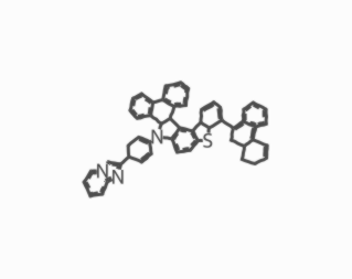 C1=CC2c3c(ccc4c3C3c5ccccc5-c5ccccc5C3N4C3=CCC(c4cn5ccccc5n4)C=C3)SC2C(C2=c3ccccc3=C3C=CCCC3C2)=C1